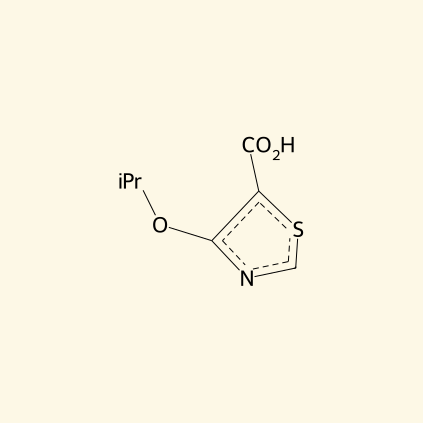 CC(C)Oc1ncsc1C(=O)O